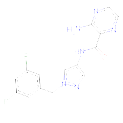 Nc1nccnc1C(=O)Nc1cnn(Cc2cc(F)cc(F)c2)c1